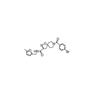 Cc1ccc(CNC(=O)C2=NOC3(CCN(C(=O)c4ccc(Br)cc4)CC3)C2)o1